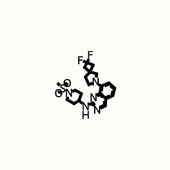 CS(=O)(=O)N1CCC(Nc2ncc3cccc(N4CCC5(C4)CC(F)(F)C5)c3n2)CC1